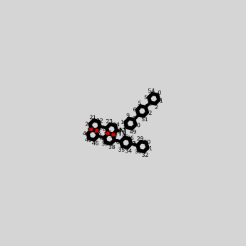 c1ccc(-c2ccc(-c3ccc(N(c4ccc(-c5ccccc5)cc4)c4cc(-c5ccccc5)ccc4-c4ccc(-c5ccccc5)cc4)cc3)cc2)cc1